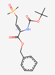 CC(C)(C)OC(=O)N/C(=C\CP(C)(C)=O)C(=O)OCc1ccccc1